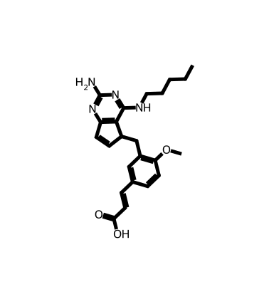 CCCCCNc1nc(N)nc2c1C(Cc1cc(/C=C/C(=O)O)ccc1OC)C=C2